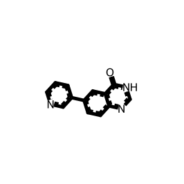 O=c1[nH]cnc2ccc(-c3cccnc3)cc12